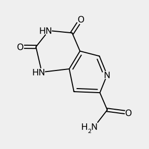 NC(=O)c1cc2[nH]c(=O)[nH]c(=O)c2cn1